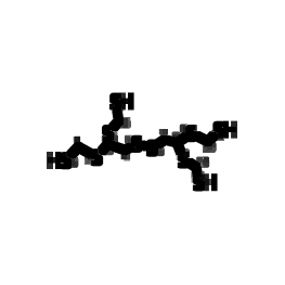 SCSC(CSSCC(SCS)SCS)SCS